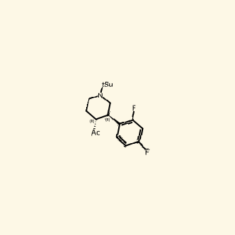 CC(=O)[C@@H]1CCN(C(C)(C)C)C[C@H]1c1ccc(F)cc1F